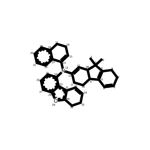 CC1(C)C2=C(C=CCC2)C2CCC(N(C3=CCCc4ccccc43)c3cccc4oc5c(c34)C=CCC5)=CC21